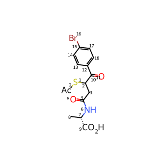 CC(=O)SC(CC(=O)N[C@@H](C)C(=O)O)C(=O)c1ccc(Br)cc1